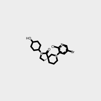 O=C1N(C2CCC(O)CC2)CC[C@]12CCCN(c1cc(Br)cnc1Cl)C2